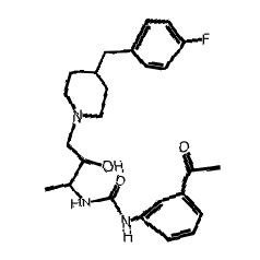 CC(=O)c1cccc(NC(=O)NC(C)C(O)CN2CCC(Cc3ccc(F)cc3)CC2)c1